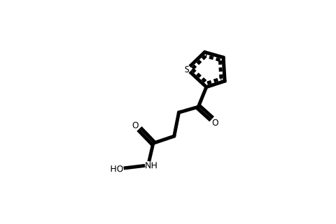 O=C(CCC(=O)c1cccs1)NO